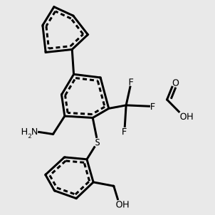 NCc1cc(-c2ccccc2)cc(C(F)(F)F)c1Sc1ccccc1CO.O=CO